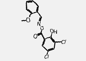 COc1ccccc1/C=N/OC(=O)c1cc(Cl)cc(Cl)c1O